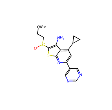 COCC[S+]([O-])c1sc2nc(-c3cncnc3)cc(C3CC3)c2c1N